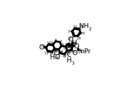 CCC[C@@H]1O[C@@H]2CC3C4CCC5=CC(=O)C=C[C@]5(C)C4[C@@H](O)C[C@]3(C)[C@]2(C(=O)COc2ccc(N)cc2)O1